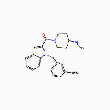 COc1cccc(Cn2c(C(=O)N3CCC(NC(C)C)CC3)cc3ccccc32)c1